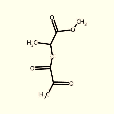 COC(=O)C(C)OC(=O)C(C)=O